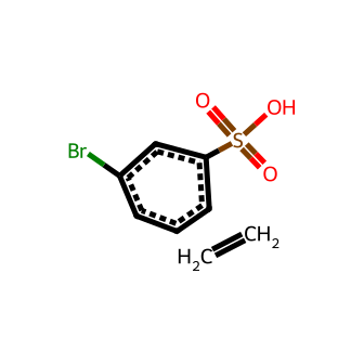 C=C.O=S(=O)(O)c1cccc(Br)c1